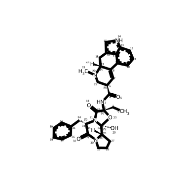 CC[C@@]1(NC(=O)[C@@H]2C=C3c4cccc5[nH]cc(c45)C[C@H]3N(C)C2)O[C@@]2(O)[C@@H]3CCCN3C(=O)[C@H](Cc3ccccc3)N2C1=O